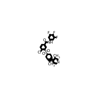 Cc1cnccc1[C@@]1(O)C2CC(S(=O)(=O)c3cc(C(=O)Nc4cc(F)c(F)c(F)c4)ccc3Cl)CC1[C@@H](C)C2